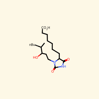 CCCCC(C)C(O)CCN1C(=O)NC(=O)C1CCCCCCC(=O)O